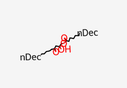 CCCCCCCCCCCCCCCC(=O)CC(O)COC(=O)CCCCCCCCCCCCCCC